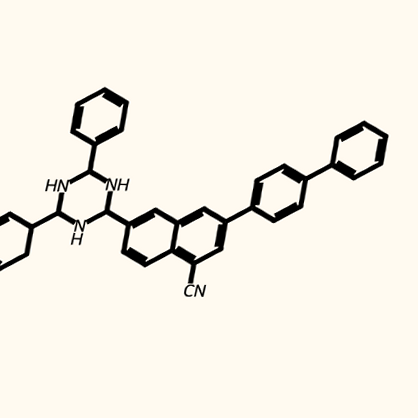 N#Cc1cc(-c2ccc(-c3ccccc3)cc2)cc2cc(C3NC(c4ccccc4)NC(C4C=CC=CC4)N3)ccc12